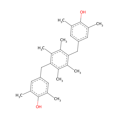 Cc1cc(Cc2c(C)c(C)c(Cc3cc(C)c(O)c(C)c3)c(C)c2C)cc(C)c1O